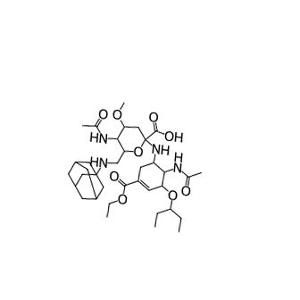 CCOC(=O)C1=CC(OC(CC)CC)C(NC(C)=O)C(NC2(C(=O)O)CC(OC)C(NC(C)=O)C(CNC34CC5CC(CC(C5)C3)C4)O2)C1